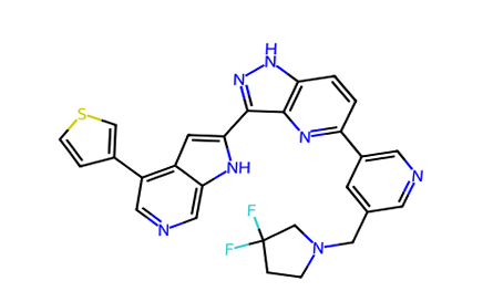 FC1(F)CCN(Cc2cncc(-c3ccc4[nH]nc(-c5cc6c(-c7ccsc7)cncc6[nH]5)c4n3)c2)C1